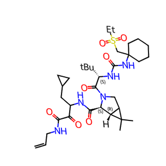 C=CCNC(=O)C(=O)C(CC1CC1)NC(=O)[C@@H]1[C@@H]2C(CN1C(=O)[C@@H](NC(=O)NC1(CS(=O)(=O)CC)CCCCC1)C(C)(C)C)C2(C)C